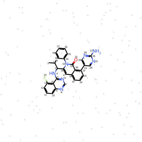 CC(C)C(Nc1ncnc2cccc(F)c12)c1cc2cccc(-c3cnc(N)nc3)c2c(=O)n1-c1ccccc1